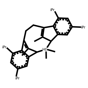 CC1=C2CCC3=C(C)[CH](c4cc(C(C)C)cc(C(C)C)c43)[Hf]([CH3])([CH3])[CH]1c1cc(C(C)C)cc(C(C)C)c12